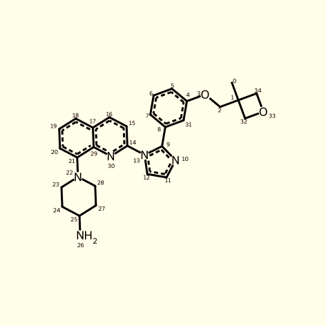 CC1(COc2cccc(-c3nccn3-c3ccc4cccc(N5CCC(N)CC5)c4n3)c2)COC1